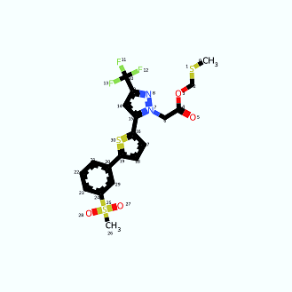 CSCOC(=O)Cn1nc(C(F)(F)F)cc1-c1ccc(-c2cccc(S(C)(=O)=O)c2)s1